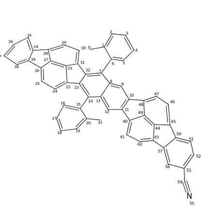 Cc1ccccc1-c1c2cc3c(cc2c(-c2ccccc2C)c2c4ccc5c6c(ccc(c12)c64)-c1ccccc1-5)c1ccc2c4c(ccc3c41)-c1ccc(C#N)cc1-2